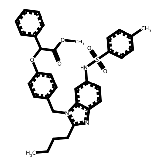 CCCCc1nc2ccc(NS(=O)(=O)c3ccc(C)cc3)cc2n1Cc1ccc(OC(C(=O)OC)c2ccccc2)cc1